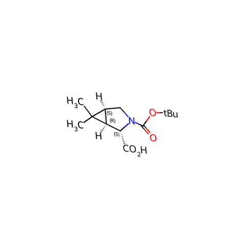 CC(C)(C)OC(=O)N1C[C@H]2[C@@H]([C@H]1C(=O)O)C2(C)C